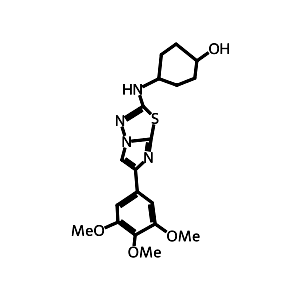 COc1cc(-c2cn3nc(NC4CCC(O)CC4)sc3n2)cc(OC)c1OC